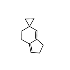 C1=C2CCC=C2CCC12CC2